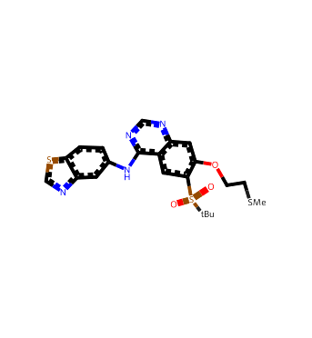 CSCCOc1cc2ncnc(Nc3ccc4scnc4c3)c2cc1S(=O)(=O)C(C)(C)C